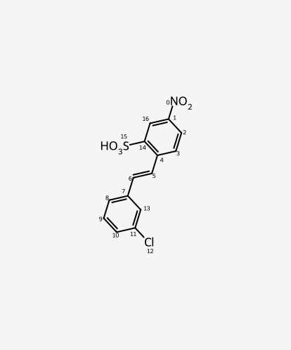 O=[N+]([O-])c1ccc(C=Cc2cccc(Cl)c2)c(S(=O)(=O)O)c1